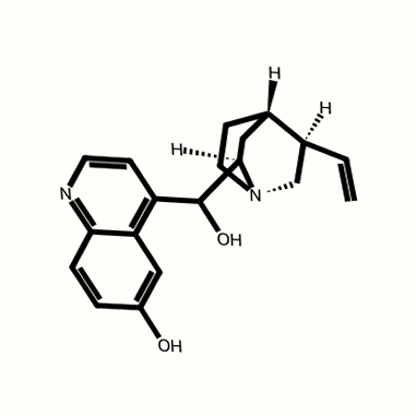 C=C[C@H]1C[N@]2CC[C@H]1C[C@@H]2C(O)c1ccnc2ccc(O)cc12